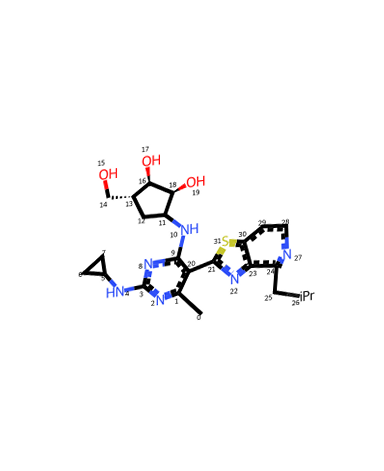 Cc1nc(NC2CC2)nc(NC2C[C@H](CO)[C@@H](O)[C@H]2O)c1-c1nc2c(CC(C)C)nccc2s1